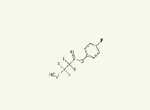 O=C(O)C(F)(F)C(F)(F)C(=O)Oc1ccc(F)cc1